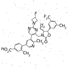 Cc1cc([C@H]2OC(=O)N(Cc3nc(N4CC(F)C4)ncc3-c3cc(-c4ccc(C(=O)O)cc4C)cnc3C)[C@H]2C)cc(C(F)(F)F)c1